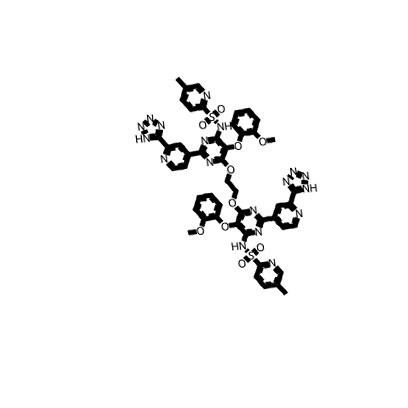 COc1ccccc1Oc1c(NS(=O)(=O)c2ccc(C)cn2)nc(-c2ccnc(-c3nnn[nH]3)c2)nc1OCCOc1nc(-c2ccnc(-c3nnn[nH]3)c2)nc(NS(=O)(=O)c2ccc(C)cn2)c1Oc1ccccc1OC